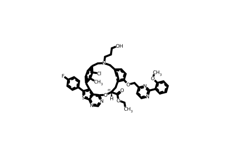 CCOC(=O)[C@H]1Cc2cc(ccc2OCc2ccnc(-c3ccccc3OC)n2)CN(CCCO)Cc2ccc(c(C)c2Cl)-c2c(-c3ccc(F)cc3)sc3ncnc(c23)O1